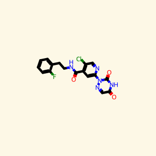 O=C(NCCc1ccccc1F)c1cc(-n2ncc(=O)[nH]c2=O)ncc1Cl